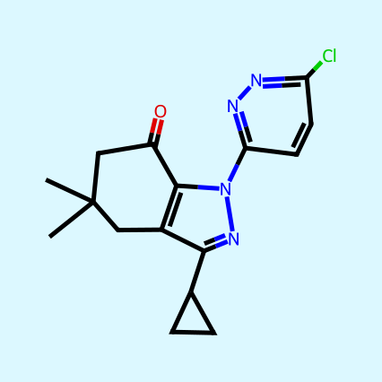 CC1(C)CC(=O)c2c(c(C3CC3)nn2-c2ccc(Cl)nn2)C1